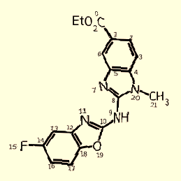 CCOC(=O)c1ccc2c(c1)nc(Nc1nc3cc(F)ccc3o1)n2C